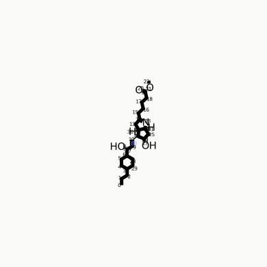 CCCC1CCC([C@H](O)/C=C/[C@@H]2[C@H]3CC(CCCCC(=O)OC)=N[C@H]3C[C@H]2O)CC1